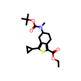 CCOC(=O)c1sc(C2CC2)c2c1CCC(N(C)C(=O)OC(C)(C)C)C2